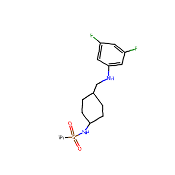 CC(C)S(=O)(=O)NC1CCC(CNc2cc(F)cc(F)c2)CC1